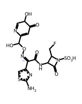 Nc1nc(/C(=N/OC(O)C2=CC(=O)C(O)C=N2)C(=O)NC2C(=O)N(S(=O)(=O)O)C2CF)cs1